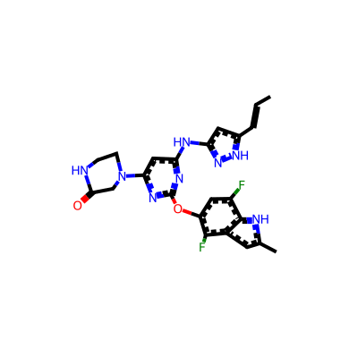 C/C=C/c1cc(Nc2cc(N3CCNC(=O)C3)nc(Oc3cc(F)c4[nH]c(C)cc4c3F)n2)n[nH]1